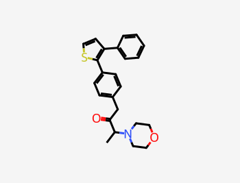 CC(C(=O)Cc1ccc(-c2sccc2-c2ccccc2)cc1)N1CCOCC1